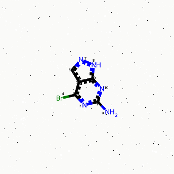 Nc1nc(Br)c2cn[nH]c2n1